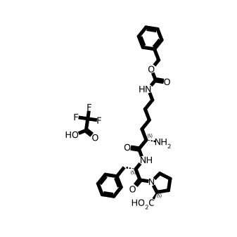 N[C@@H](CCCCNC(=O)OCc1ccccc1)C(=O)N[C@@H](Cc1ccccc1)C(=O)N1CCC[C@H]1C(=O)O.O=C(O)C(F)(F)F